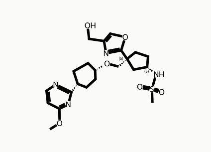 COc1ccnc([C@H]2CC[C@@H](OC[C@]3(c4nc(CO)co4)CC[C@H](NS(C)(=O)=O)C3)CC2)n1